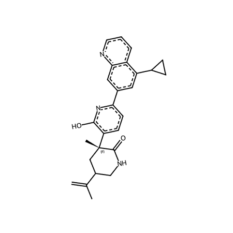 C=C(C)C1CNC(=O)[C@@](C)(c2ccc(-c3cc(C4CC4)c4cccnc4c3)nc2O)C1